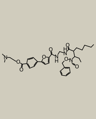 CCCCCC(C(=O)NCNC(=O)c1ccc(-c2ccc(C(=O)OCCN(C)C)cc2)o1)C(CC)N(C=O)OCc1ccccc1